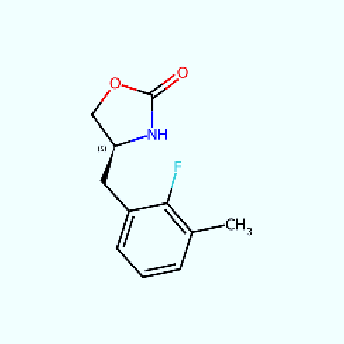 Cc1cccc(C[C@H]2COC(=O)N2)c1F